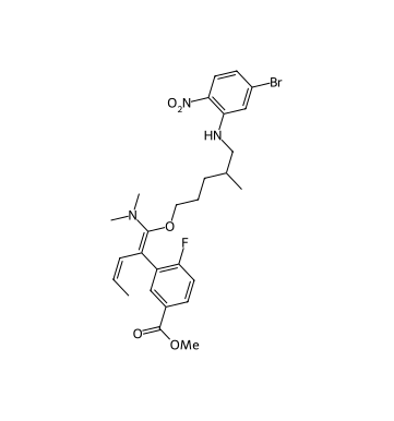 C/C=C\C(=C(\OCCCC(C)CNc1cc(Br)ccc1[N+](=O)[O-])N(C)C)c1cc(C(=O)OC)ccc1F